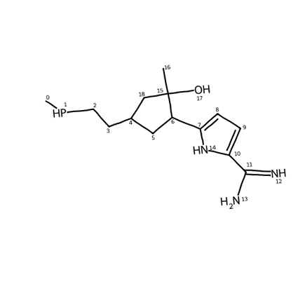 CPCCC1CC(c2ccc(C(=N)N)[nH]2)C(C)(O)C1